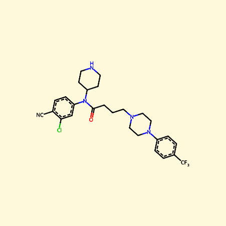 N#Cc1ccc(N(C(=O)CCCN2CCN(c3ccc(C(F)(F)F)cc3)CC2)C2CCNCC2)cc1Cl